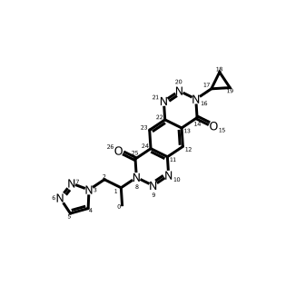 CC(Cn1ccnn1)n1nnc2cc3c(=O)n(C4CC4)nnc3cc2c1=O